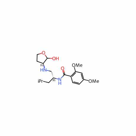 COc1ccc(C(=O)N[C@@H](CN[C@H]2CCOC2O)CC(C)C)c(OC)c1